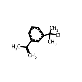 C=C(C)c1cccc(C(C)(C)Cl)c1